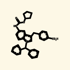 O=C(Nc1ccc2c(c1)c(Cc1ccc(C(=O)O)cc1)cn2C(c1ccccc1)c1ccccc1)OC1CCCC1